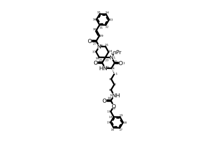 CCCN1C(=O)[C@H](CCCCNC(=O)OCc2ccccc2)NC(=O)C12CCN(C(=O)/C=C/c1ccccc1)CC2